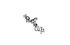 CCOC(=O)c1ccn(-c2nc(CBr)cc(NC3CCC(F)(F)CC3)n2)n1